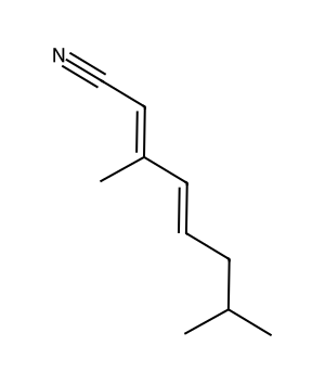 CC(/C=C/CC(C)C)=C\C#N